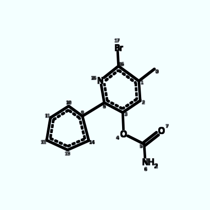 Cc1cc(OC(N)=O)c(-c2ccccc2)nc1Br